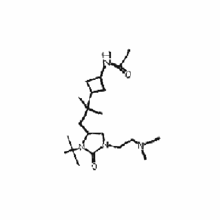 CC(=O)NC1CC(C(C)(C)CC2CN(CCN(C)C)C(=O)N2C(C)(C)C)C1